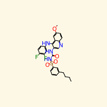 CCCCc1cccc(S(=O)(=O)NC(=O)Nc2cnc3ccc(OC)cc3c2Nc2ccc(F)c(F)c2)c1